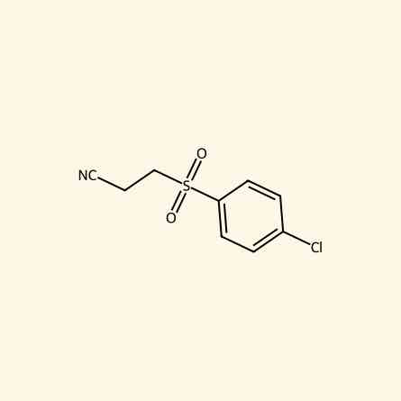 N#CCCS(=O)(=O)c1ccc(Cl)cc1